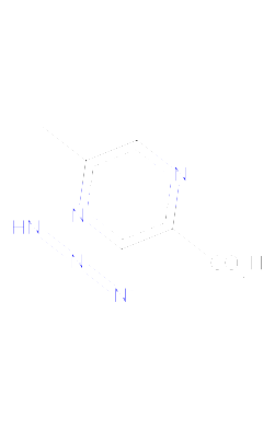 Cc1cnc(C(=O)O)cn1.[N-]=[N+]=N